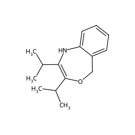 CC(C)C1=C(C(C)C)OCc2ccccc2N1